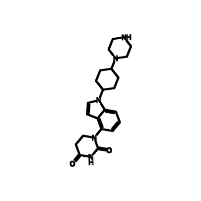 O=C1CCN(c2cccc3c2ccn3C2CCC(N3CCNCC3)CC2)C(=O)N1